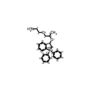 CC(COCCN)OCC[PH](c1ccccc1)(c1ccccc1)c1ccccc1